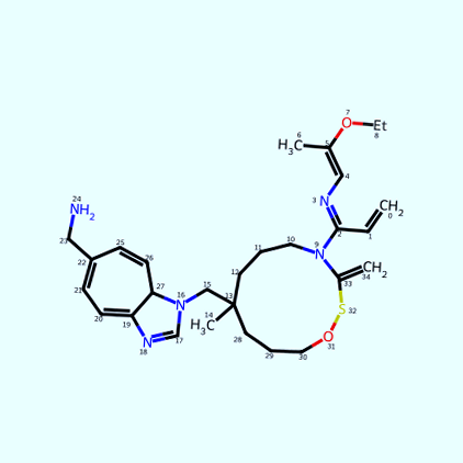 C=C/C(=N\C=C(/C)OCC)N1CCCC(C)(CN2C=NC3=CC=C(CN)C=CC32)CCCOSC1=C